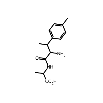 Cc1ccc(C(C)C(N)C(=O)NC(C)C(=O)O)cc1